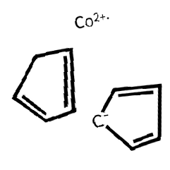 C1=CCC=C1.[Co+2].c1cc[cH-]c1